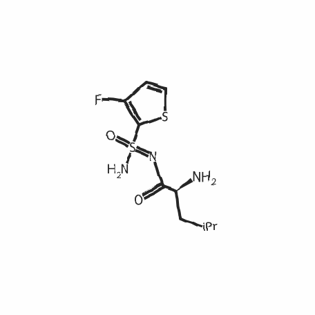 CC(C)C[C@H](N)C(=O)N=S(N)(=O)c1sccc1F